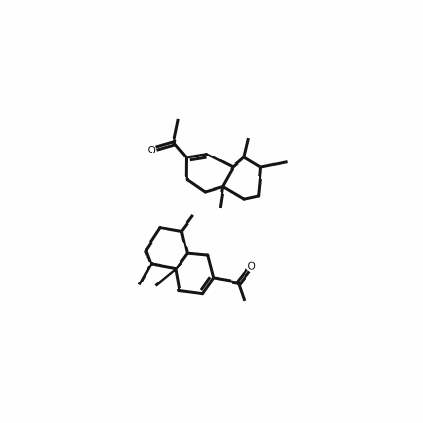 CC(=O)C1=CC2C(C)C(C)CCC2(C)CC1.CC(=O)C1=CCC2(C)C(C)CCC(C)C2C1